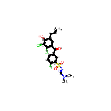 C=CCc1cc(C(=O)c2ccc(Cl)c(S(=O)(=O)/N=C/N(C)C)c2)c(Cl)c(Cl)c1O